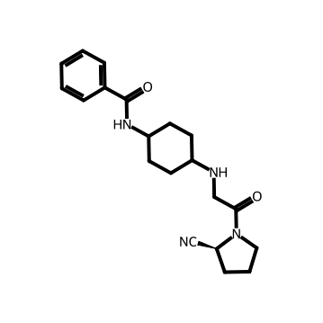 N#C[C@@H]1CCCN1C(=O)CNC1CCC(NC(=O)c2ccccc2)CC1